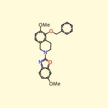 COc1ccc2nc(N3CCc4c(ccc(OC)c4OCc4ccccc4)C3)oc2c1